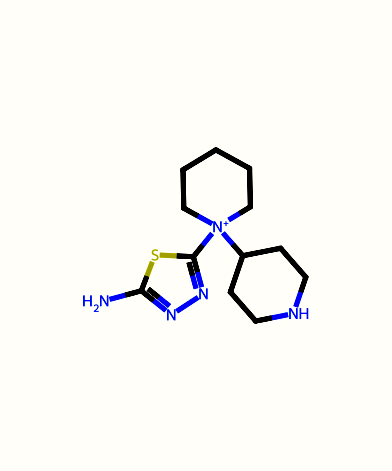 Nc1nnc([N+]2(C3CCNCC3)CCCCC2)s1